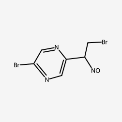 O=NC(CBr)c1cnc(Br)cn1